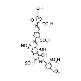 O=C(O)c1nn(CCO)c(O)c1/N=N/c1ccc(/N=N/c2c(S(=O)(=O)O)cc3cc(S(=O)(=O)O)c(/N=N/c4ccc([N+](=O)[O-])cc4S(=O)(=O)O)c(O)c3c2O)c(S(=O)(=O)O)c1